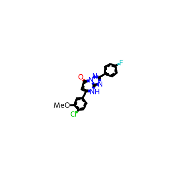 COc1cc(-c2cc(=O)n3nc(-c4ccc(F)cc4)nc3[nH]2)ccc1Cl